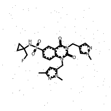 Cc1cc(Cn2c(=O)n(Cc3cnn(C)c3)c(=O)c3cc(S(=O)(=O)NC4(CF)CC4)ccc32)n(C)n1